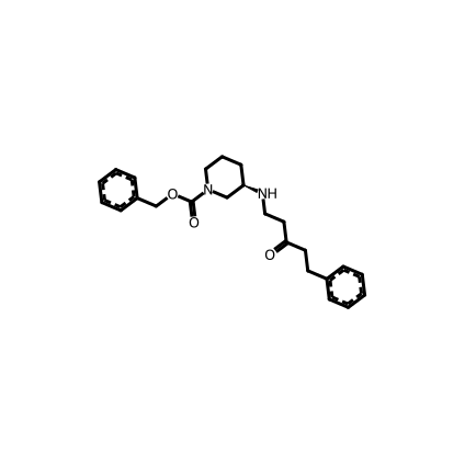 O=C(CCN[C@@H]1CCCN(C(=O)OCc2ccccc2)C1)CCc1ccccc1